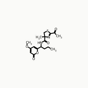 CCCC(NC(=O)C1(C)CSC(C(C)=O)=N1)c1cc(OC)cc(=O)o1